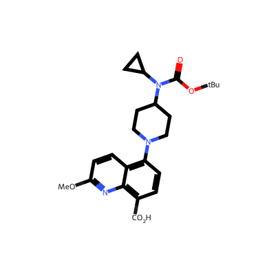 COc1ccc2c(N3CCC(N(C(=O)OC(C)(C)C)C4CC4)CC3)ccc(C(=O)O)c2n1